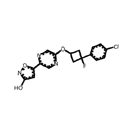 Oc1cc(-c2cnc(OC3CC(F)(c4ccc(Cl)cc4)C3)cn2)on1